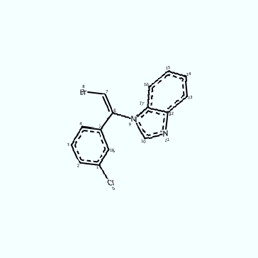 Clc1cccc(C(=CBr)n2cnc3ccccc32)c1